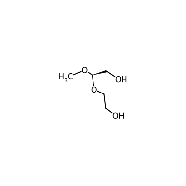 CO[C@@H](CO)OCCO